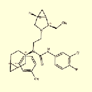 N#Cc1cccc([C@]23CC[C@@H](N(CCN4C[C@@H]5CC5[C@H]4CO)C(=O)Nc4ccc(F)c(Cl)c4)CC2C3)c1